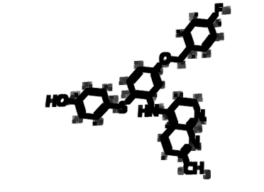 Cc1ccc2c(Nc3cc(OCc4ccc(F)cc4)ccc3Sc3ccc(O)cc3)ccnc2n1